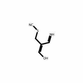 N#CSC/C(C=N)=C/O